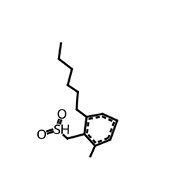 CCCCCCc1cccc(C)c1C[SH](=O)=O